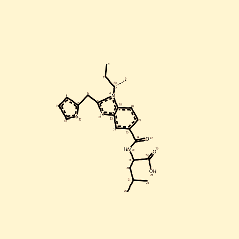 CC[C@H](C)n1c(Cc2cccs2)nc2cc(C(=O)NC(CC(C)C)C(=O)O)ccc21